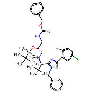 CC(C)(C)[C@@H](NC[C@@H](CNC(=O)OCc1ccccc1)O[Si](C)(C)C(C)(C)C)c1nc(-c2cc(F)ccc2F)cn1Cc1ccccc1